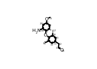 COc1ccc(Oc2c(I)cc(CC=O)cc2I)c(N)c1